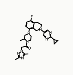 Cc1nc(C)n(CC(=O)N2CCN(c3ccc(F)c4c3CN(c3cnc(C5CC5)nc3)CC4)CC2C)n1